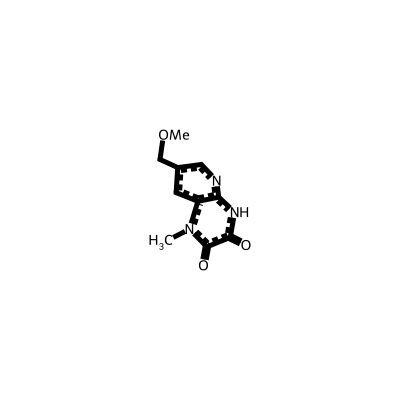 COCc1cnc2[nH]c(=O)c(=O)n(C)c2c1